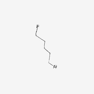 FCCCC[CH2][Al]